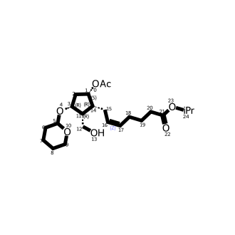 CC(=O)O[C@H]1C[C@@H](OC2CCCCO2)[C@@H](CO)[C@H]1C/C=C\CCCC(=O)OC(C)C